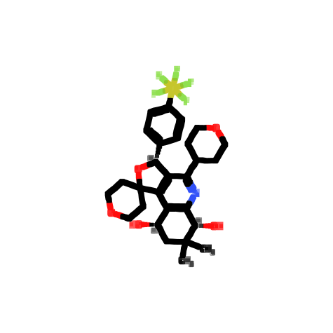 CC1(C)C[C@H](O)c2c(nc(C3CCOCC3)c3c2C2(CCOCC2)O[C@@H]3c2ccc(S(F)(F)(F)(F)F)cc2)[C@@H]1O